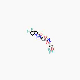 O=C(N[C@@H]1CC[C@@H](c2nnc([C@H]3C[C@@H](OC(F)(F)F)C3)o2)OC1)c1ccc2c(F)c(F)ccc2n1